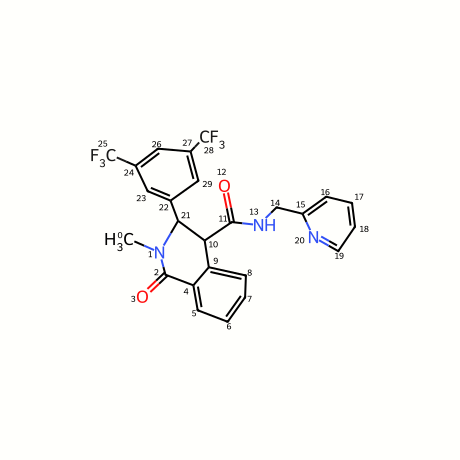 CN1C(=O)c2ccccc2C(C(=O)NCc2ccccn2)C1c1cc(C(F)(F)F)cc(C(F)(F)F)c1